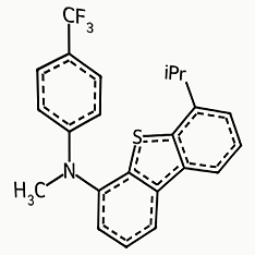 CC(C)c1cccc2c1sc1c(N(C)c3ccc(C(F)(F)F)cc3)cccc12